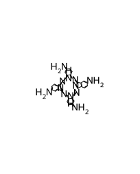 Nc1ccc2c(c1)-c1nc-2nc2[nH]c(nc3nc(nc4[nH]c(n1)c1ccc(N)cc41)-c1ccc(N)cc1-3)c1ccc(N)cc21